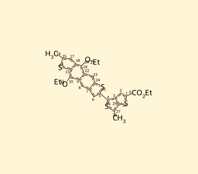 CCOC(=O)c1cc2c(-c3cc4cc5c(OCC)c6sc(C)cc6c(OCC)c5cc4s3)sc(C)c2s1